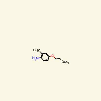 COCCOc1ccc(N)c(C=O)c1